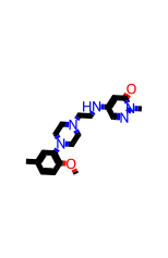 COc1ccc(C)cc1N1CCN(CCNc2cnn(C)c(=O)c2)CC1